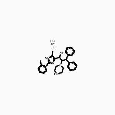 Cc1ccccc1-c1nc(C(O)C(C(c2ccccc2)c2ccccc2)N2CCNCC2)c(C)[nH]1.Cl.Cl.Cl